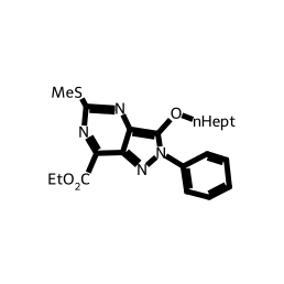 CCCCCCCOc1c2nc(SC)nc(C(=O)OCC)c2nn1-c1ccccc1